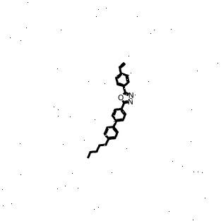 C=Cc1ccc(-c2nnc(-c3ccc(-c4ccc(CCCCC)cc4)cc3)o2)cc1